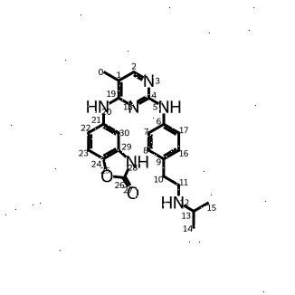 Cc1cnc(Nc2ccc(CCNC(C)C)cc2)nc1Nc1ccc2oc(=O)[nH]c2c1